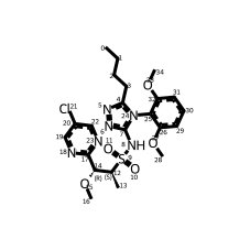 CCCCc1nnc(NS(=O)(=O)[C@@H](C)[C@H](OC)c2ncc(Cl)cn2)n1-c1c(OC)cccc1OC